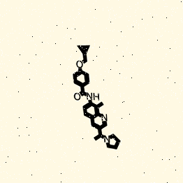 Cc1c(NC(=O)c2ccc(OCC3CC3)cc2)ccc2cc(C(C)N3CCCC3)cnc12